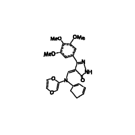 COc1cc(C2=NNC(=O)C2=CN(C2=CC=CCC2)C2=COC=CO2)cc(OC)c1OC